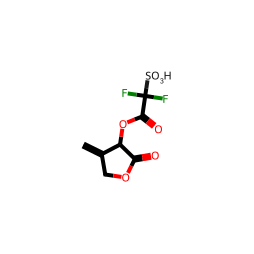 C=C1COC(=O)C1OC(=O)C(F)(F)S(=O)(=O)O